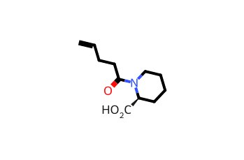 C=CCCC(=O)N1CCCC[C@H]1C(=O)O